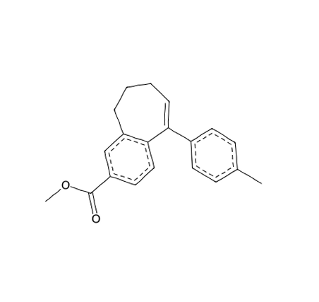 COC(=O)c1ccc2c(c1)CCCC=C2c1ccc(C)cc1